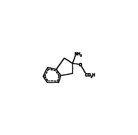 NC1(OC(=O)O)Cc2ccccc2C1